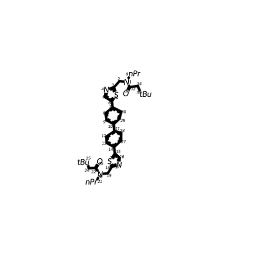 CCCN(Cc1ncc(-c2ccc(-c3ccc(-c4cnc(CN(CCC)C(=O)CC(C)(C)C)s4)cc3)cc2)s1)C(=O)CC(C)(C)C